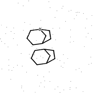 C1CB2CCC(C1)C2.C1CC2CCC(C1)C2